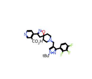 CC(C)(C)n1cc(CN2CCC3(CC2)CC(c2ccncc2C(=O)O)=NO3)c(-c2ccc(F)c(F)c2F)n1